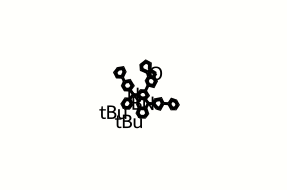 CC(C)(C)c1ccc2c(c1)B1c3cc(C(C)(C)C)ccc3N(c3ccc(-c4ccccc4)cc3)c3cc(-c4ccc5oc6ccccc6c5c4)cc(c31)N2c1ccc(-c2ccccc2)cc1